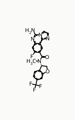 CN(C(=O)c1cc2c(cc1F)nc(N)n1ccnc21)[C@@H]1COc2cc(C(F)(F)F)ccc21